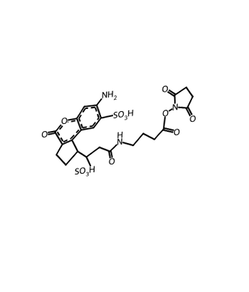 Nc1cc2oc(=O)c3c(c2cc1S(=O)(=O)O)C(C(CC(=O)NCCCC(=O)ON1C(=O)CCC1=O)S(=O)(=O)O)CC3